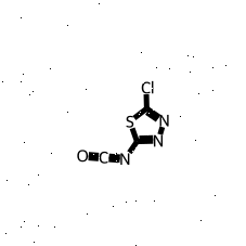 O=C=Nc1nnc(Cl)s1